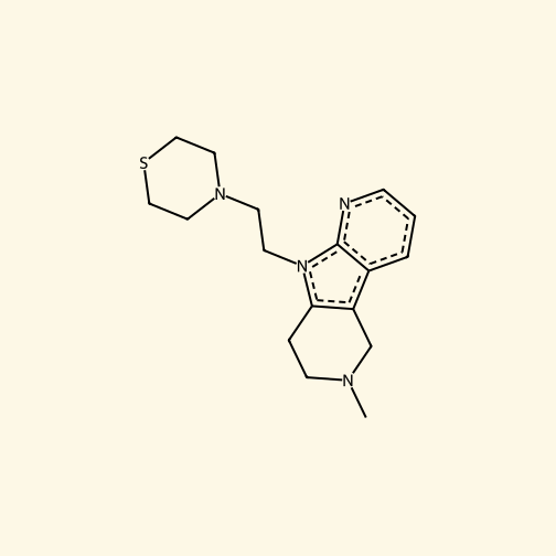 CN1CCc2c(c3cccnc3n2CCN2CCSCC2)C1